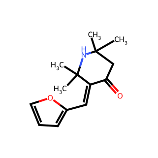 CC1(C)CC(=O)C(=Cc2ccco2)C(C)(C)N1